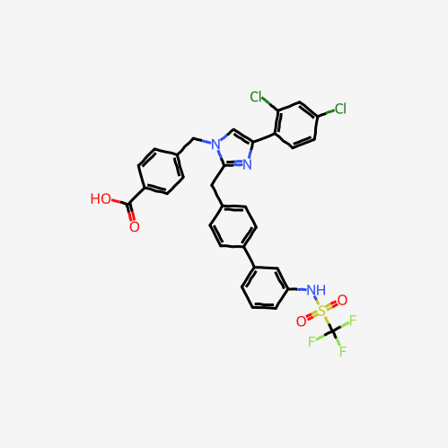 O=C(O)c1ccc(Cn2cc(-c3ccc(Cl)cc3Cl)nc2Cc2ccc(-c3cccc(NS(=O)(=O)C(F)(F)F)c3)cc2)cc1